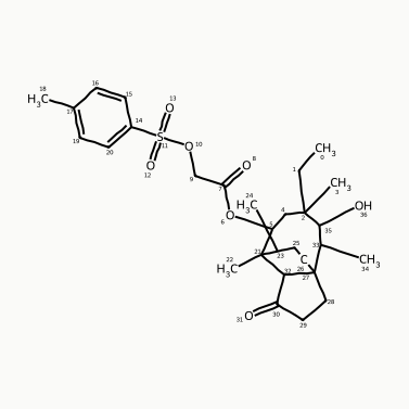 CCC1(C)CC(OC(=O)COS(=O)(=O)c2ccc(C)cc2)C2(C)C(C)CCC3(CCC(=O)C32)C(C)C1O